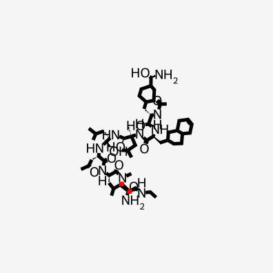 CCNCCCC(C)C[C@H](NC(=O)[C@H](CC(C)=O)N[C@H](O)[C@H](CC(C)C)N[C@@H](O)[C@](C)(CC(C)C)NC(=O)[C@H](CC1CCC2CC=CCC2C1)NC(O)[C@H](CC1CCC([C@H](N)O)CC1)NC(C)=O)C(=O)N(C)CC(N)=O